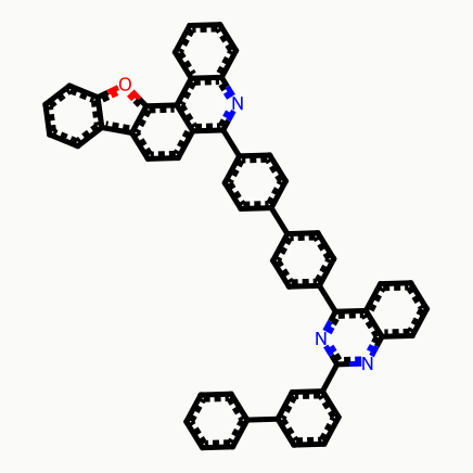 c1ccc(-c2cccc(-c3nc(-c4ccc(-c5ccc(-c6nc7ccccc7c7c6ccc6c8ccccc8oc67)cc5)cc4)c4ccccc4n3)c2)cc1